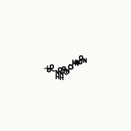 CC(C)OC(=O)CCNC(=O)N[C@H]1CCN(c2ccc(C=NNOC(=O)N(C)C)cc2)C1=O